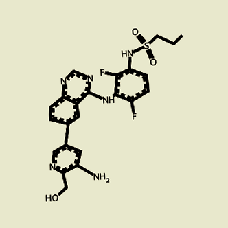 CCCS(=O)(=O)Nc1ccc(F)c(Nc2ncnc3ccc(-c4cnc(CO)c(N)c4)cc23)c1F